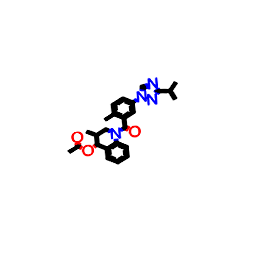 CC(=O)OC1c2ccccc2N(C(=O)c2cc(-n3cnc(C(C)C)n3)ccc2C)CC1C